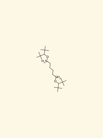 CC(C)(C)C(O[SiH2]CCCC[SiH2]OC(C(C)(C)C)C(C)(C)C)C(C)(C)C